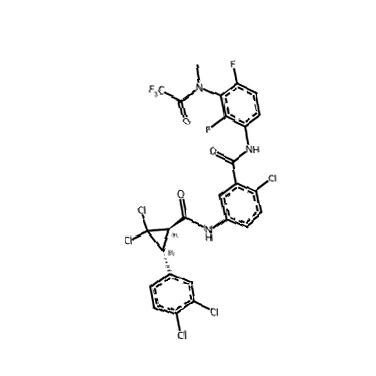 CN(C(=O)C(F)(F)F)c1c(F)ccc(NC(=O)c2cc(NC(=O)[C@H]3[C@H](c4ccc(Cl)c(Cl)c4)C3(Cl)Cl)ccc2Cl)c1F